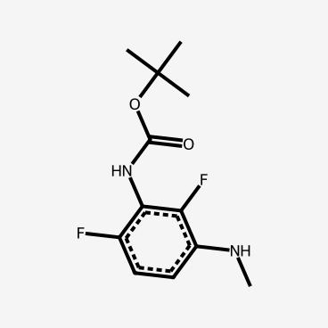 CNc1ccc(F)c(NC(=O)OC(C)(C)C)c1F